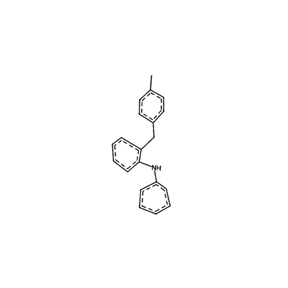 Cc1ccc(Cc2ccccc2Nc2ccccc2)cc1